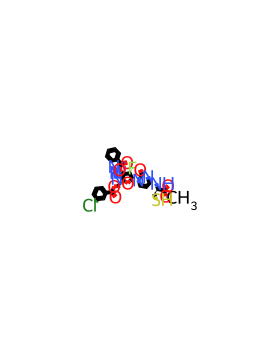 COC(=O)[C@H](CS)Nc1ccn(C2O[C@@](COC(=O)c3cccc(Cl)c3)(N=[N+]=[N-])C(OC(=O)c3ccccc3)[C@@H]2F)c(=O)n1